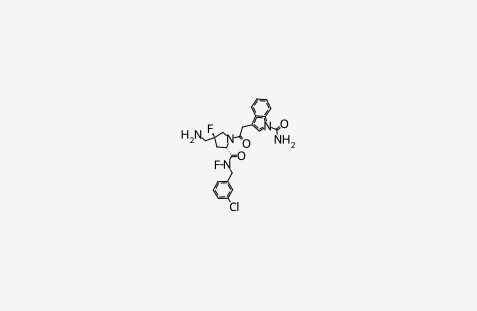 NC[C@@]1(F)C[C@@H](C(=O)N(F)Cc2cccc(Cl)c2)N(C(=O)Cc2cn(C(N)=O)c3ccccc23)C1